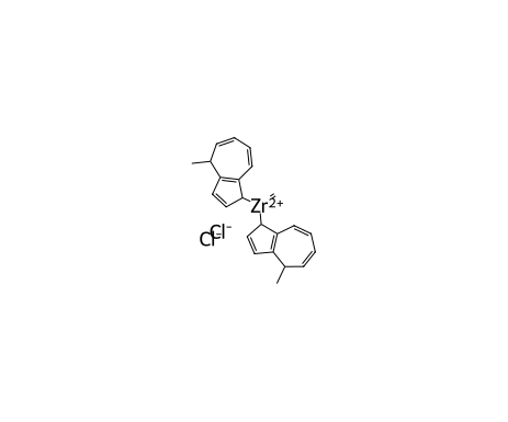 [CH2]=[Zr+2]([CH]1C=CC2=C1C=CC=CC2C)[CH]1C=CC2=C1C=CC=CC2C.[Cl-].[Cl-]